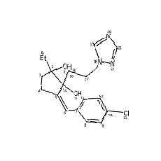 CCC1(C)CCC(=Cc2ccc(Cl)cc2)C1(O)CCn1cncn1